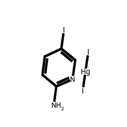 Nc1ccc(I)cn1.[I][Hg][I]